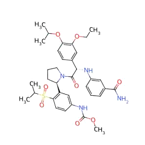 CCOc1cc([C@H](Nc2cccc(C(N)=O)c2)C(=O)N2CCC[C@@H]2c2cc(NC(=O)OC)ccc2S(=O)(=O)C(C)C)ccc1OC(C)C